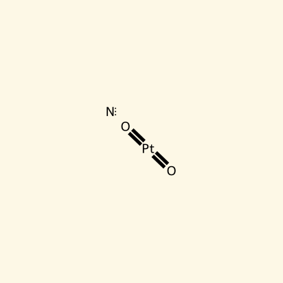 [N].[O]=[Pt]=[O]